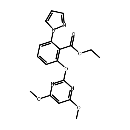 CCOC(=O)c1c(Oc2nc(OC)cc(OC)n2)cccc1-n1cccn1